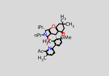 CCCN1C(=O)C2=C(OC3=C(C(=O)CC(C)(C)C3)[C@@H]2c2c(OC)ccc(-c3ccc(C)c(C(C)=O)n3)c2C)[C@H]1C(C)C